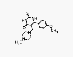 COc1ccc(-c2[nH]c(=S)[nH]c(=O)c2CN2CCN(C)CC2)cc1